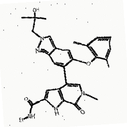 CCNC(=O)c1cc2c(-c3cc4nn(CC(C)(C)O)cc4cc3Oc3c(C)cccc3C)cn(C)c(=O)c2[nH]1